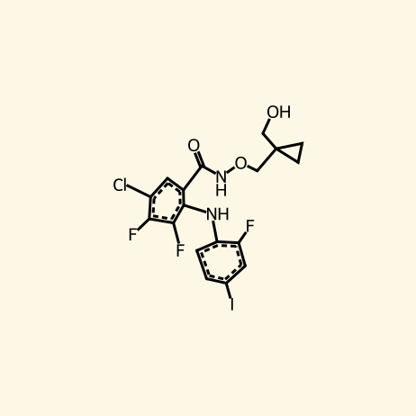 O=C(NOCC1(CO)CC1)c1cc(Cl)c(F)c(F)c1Nc1ccc(I)cc1F